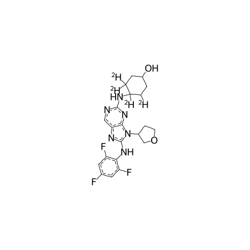 [2H]C1CC(O)CC([2H])([2H])C1([2H])Nc1ncc2nc(Nc3c(F)cc(F)cc3F)n(C3CCOC3)c2n1